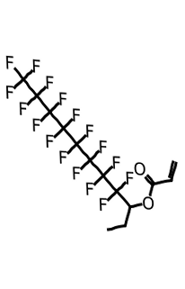 C=CC(=O)OC(CC)C(F)(F)C(F)(F)C(F)(F)C(F)(F)C(F)(F)C(F)(F)C(F)(F)C(F)(F)F